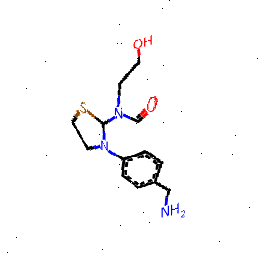 NCc1ccc(N2CCSC2N(C=O)CCO)cc1